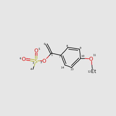 C=C(OS(C)(=O)=O)c1ccc(OCC)cc1